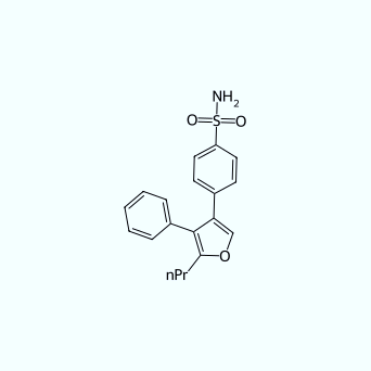 [CH2]CCc1occ(-c2ccc(S(N)(=O)=O)cc2)c1-c1ccccc1